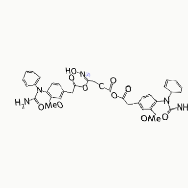 COc1cc(CC(=O)OC(=O)CC/C(=N/O)OC(=O)Cc2ccc(N(C(N)=O)c3ccccc3)c(OC)c2)ccc1N(C(N)=O)c1ccccc1